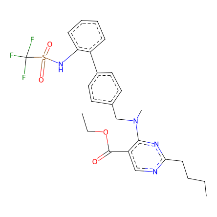 CCCCc1ncc(C(=O)OCC)c(N(C)Cc2ccc(-c3ccccc3NS(=O)(=O)C(F)(F)F)cc2)n1